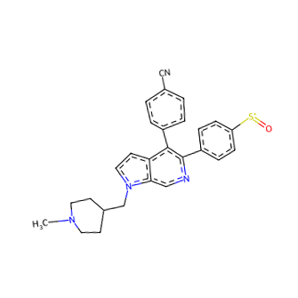 CN1CCC(Cn2ccc3c(-c4ccc(C#N)cc4)c(-c4ccc([S+]=O)cc4)ncc32)CC1